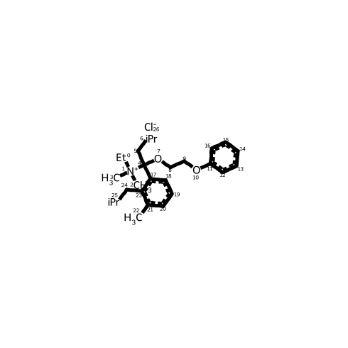 CC[N+](C)(C)C(CC(C)C)(OCCOc1ccccc1)c1cccc(C)c1CC(C)C.[Cl-]